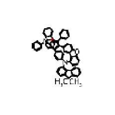 CC1(C)c2ccccc2-c2c(N(c3ccc(-c4ccccc4)cc3)c3cccc4oc5ccc(-c6ccc7c(c6-c6ccccc6)c6ccccc6n7-c6ccccc6)cc5c34)cccc21